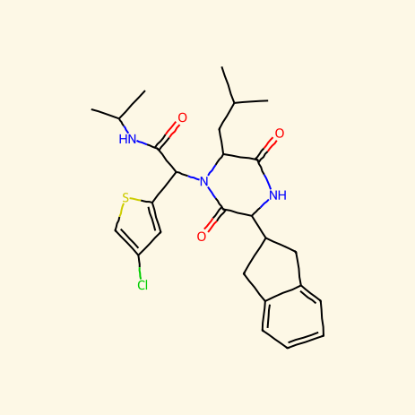 CC(C)CC1C(=O)NC(C2Cc3ccccc3C2)C(=O)N1C(C(=O)NC(C)C)c1cc(Cl)cs1